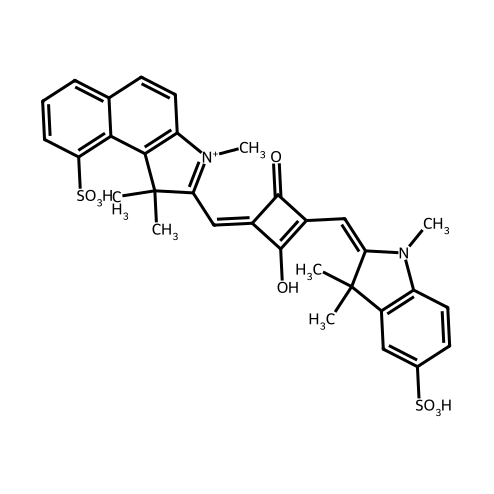 CN1/C(=C/C2=C(O)C(=C/C3=[N+](C)c4ccc5cccc(S(=O)(=O)O)c5c4C3(C)C)/C2=O)C(C)(C)c2cc(S(=O)(=O)O)ccc21